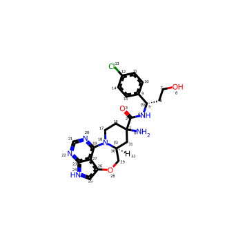 NC1(C(=O)N[C@@H](CCO)c2ccc(Cl)cc2)CCN2c3ncnc4[nH]cc(c34)OC[C@@H]2C1